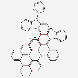 CC1C=c2oc3ccccc3c2=C(c2ccccc2N(c2cccc(-c3cccc4c3c3ccccc3n4-c3ccccc3)c2)c2ccccc2-c2cccc3cccc(C4CCCCC4)c23)C1